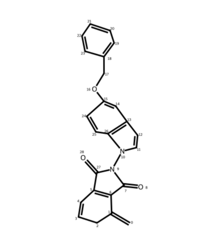 C=C1CC=CC2=C1C(=O)N(n1ccc3cc(OCc4ccccc4)ccc31)C2=O